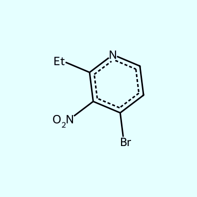 CCc1nccc(Br)c1[N+](=O)[O-]